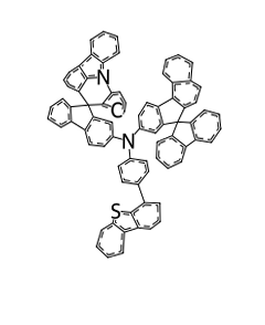 c1ccc2c(c1)-c1ccccc1C21c2cc(N(c3ccc(-c4cccc5c4sc4ccccc45)cc3)c3ccc4c(c3)C3(c5ccccc5-4)c4ccccc4-n4c5ccccc5c5cccc3c54)ccc2-c2c1ccc1ccccc21